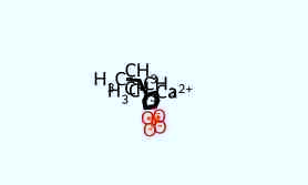 CC(C)(C)CC(C)(C)c1ccc(OP(=O)([O-])[O-])cc1.[Ca+2]